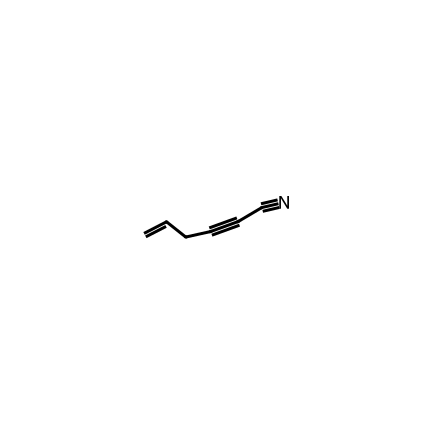 C=CCC#CC#N